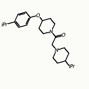 CC(C)c1ccc(OC2CCN(C(=O)CN3CCC(C(C)C)CC3)CC2)cc1